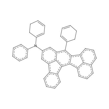 C1=CCCC(c2c3cc(N(C4=CC=CCC4)c4ccccc4)cc4c5ccccc5c(c34)c3c4cccc5cccc(c23)c54)=C1